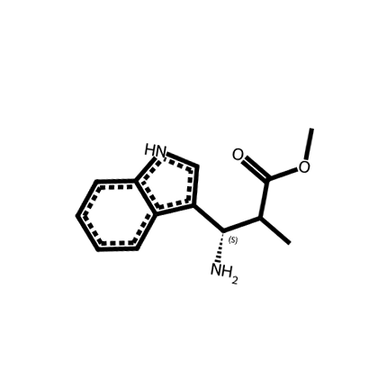 COC(=O)C(C)[C@H](N)c1c[nH]c2ccccc12